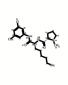 CC(=O)CCCCC[C@H](NC(=O)[C@@H]1CCCN1C)C(=O)Nc1cc(Cl)cc(Cl)c1